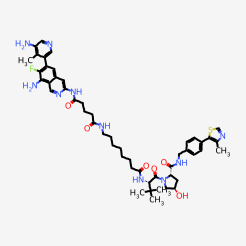 Cc1ncsc1-c1ccc(CNC(=O)[C@@H]2C[C@@H](O)CN2C(=O)[C@@H](NC(=O)CCCCCCCNC(=O)CCCC(=O)Nc2cc3cc(-c4cncc(N)c4C)c(F)c(N)c3cn2)C(C)(C)C)cc1